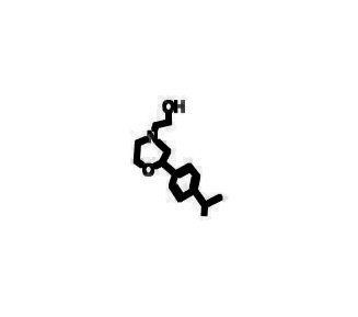 CC(C)c1ccc(C2CN(CCO)CCO2)cc1